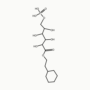 O=C(OCCC1CCCCC1)C(O)C(O)C(O)C(O)COP(=O)(O)O